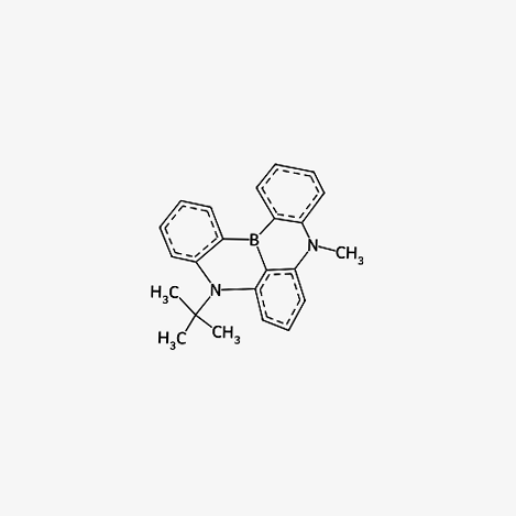 CN1c2ccccc2B2c3ccccc3N(C(C)(C)C)c3cccc1c32